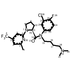 Cc1cc(C(F)(F)F)cc(N2CCC[C@H]2C(=O)N(CCCCN(C)C)c2ccc(F)c(Cl)c2)n1